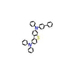 c1ccc(-c2ccc(N(c3ccccc3)c3ccc4c(c3)sc3ccc(N(c5ccccc5)c5ccccc5)cc34)cc2)cc1